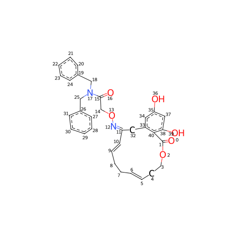 O=C1OCC/C=C/CC/C=C/C(=N/OCC(=O)N(Cc2ccccc2)Cc2ccccc2)Cc2cc(O)cc(O)c21